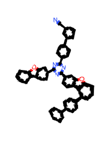 N#Cc1cccc(-c2ccc(-c3nc(-c4ccc5c(c4)oc4ccccc45)nc(-c4ccc5c(c4)oc4cccc(-c6ccc(-c7ccccc7)cc6)c45)n3)cc2)c1